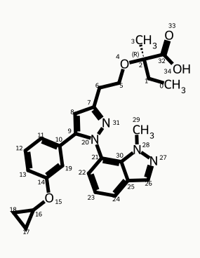 CC[C@@](C)(OCCc1cc(-c2cccc(OC3CC3)c2)n(-c2cccc3cnn(C)c23)n1)C(=O)O